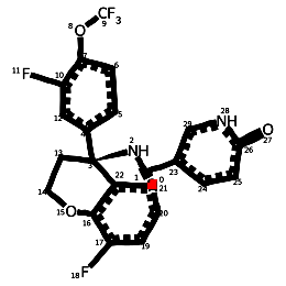 O=C(N[C@]1(c2ccc(OC(F)(F)F)c(F)c2)CCOc2c(F)ccnc21)c1ccc(=O)[nH]c1